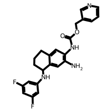 Nc1cc2c(cc1NC(=O)OCc1cccnc1)CCCC2Nc1cc(F)cc(F)c1